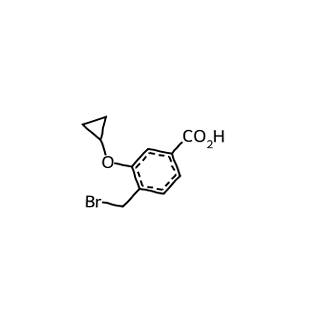 O=C(O)c1ccc(CBr)c(OC2CC2)c1